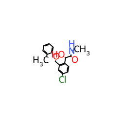 CNC(=O)C(O)c1ccc(Cl)cc1COc1ccccc1C